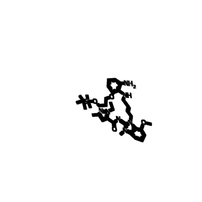 CCn1nc(C)cc1C(=O)/N=c1\n(C)c2cccc(OC)c2n1C/C=C/CNc1c(N)cccc1OCCCO[Si](C)(C)C(C)(C)C